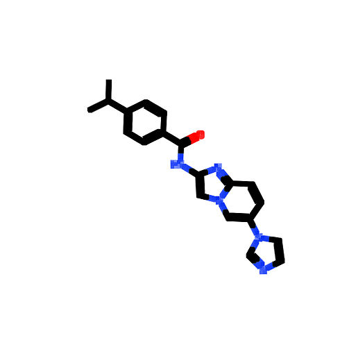 CC(C)c1ccc(C(=O)Nc2cn3cc(-n4ccnc4)ccc3n2)cc1